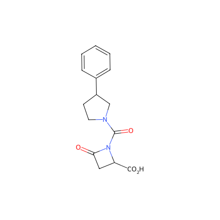 O=C(O)C1CC(=O)N1C(=O)N1CCC(c2ccccc2)C1